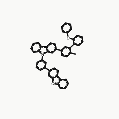 Cc1ccc(-c2ccc3c4ccccc4n(-c4cccc(-c5ccc6c(c5)oc5ccccc56)c4)c3c2)cc1-c1ccccc1Oc1ccccc1